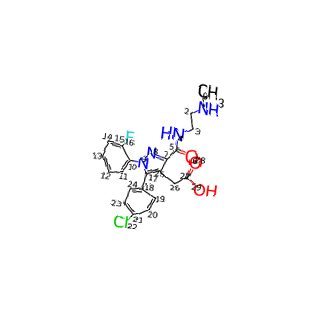 CNCCNC(=O)c1nn(-c2ccccc2F)c(-c2ccc(Cl)cc2)c1CC(=O)O